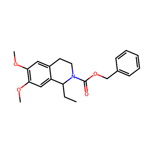 CCC1c2cc(OC)c(OC)cc2CCN1C(=O)OCc1ccccc1